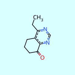 CCc1ncnc2c1CCCC2=O